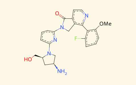 COc1cccc(F)c1-c1nccc2c1CN(c1cccc(N3C[C@@H](N)C[C@H]3CO)n1)C2=O